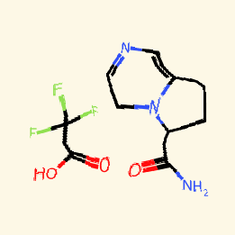 NC(=O)C1CCC2=CN=CCN21.O=C(O)C(F)(F)F